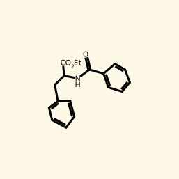 CCOC(=O)C(Cc1ccccc1)NC(=O)c1ccccc1